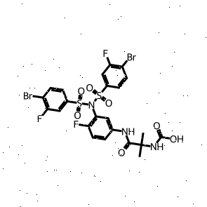 CC(C)(NC(=O)O)C(=O)Nc1ccc(F)c(N(S(=O)(=O)c2ccc(Br)c(F)c2)S(=O)(=O)c2ccc(Br)c(F)c2)c1